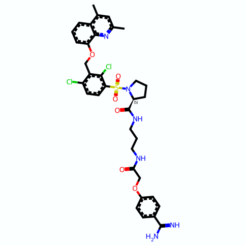 Cc1cc(C)c2cccc(OCc3c(Cl)ccc(S(=O)(=O)N4CCC[C@H]4C(=O)NCCCNC(=O)COc4ccc(C(=N)N)cc4)c3Cl)c2n1